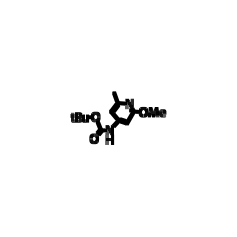 COc1cc(NC(=O)OC(C)(C)C)cc(C)n1